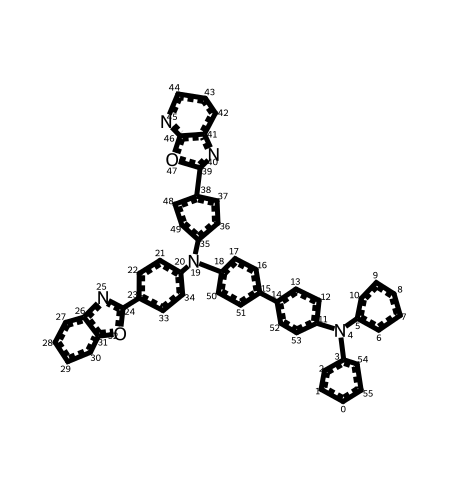 c1ccc(N(c2ccccc2)c2ccc(-c3ccc(N(c4ccc(-c5nc6ccccc6o5)cc4)c4ccc(-c5nc6cccnc6o5)cc4)cc3)cc2)cc1